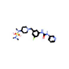 CN(C)S(=O)(=O)N(C)C1CCN(Cc2cc(F)cc(NC(=O)Nc3cccnc3)c2)CC1